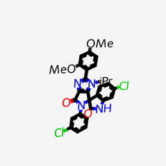 COc1ccc(-c2nc3c(n2C(C)C)C2(C(=O)Nc4cc(Cl)ccc42)N(c2cccc(Cl)c2)C3=O)c(OC)c1